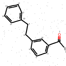 CCC(=O)c1cccc(CCc2ccccc2)c1